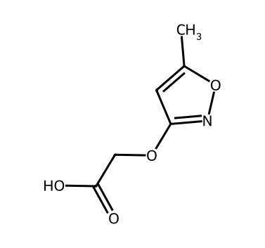 Cc1cc(OCC(=O)O)no1